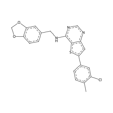 Cc1ccc(-c2cc3ncnc(NCc4ccc5c(c4)OCO5)c3s2)cc1Cl